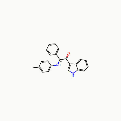 Cc1ccc(N[C@H](C(=O)c2c[nH]c3ccccc23)c2ccccc2)cc1